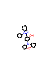 Oc1cc(N2c3ccccc3Oc3ccccc32)ccc1-c1nc2ccccc2n1-c1ccccc1